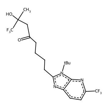 CC(C)(C)n1c(CCCCC(=O)CC(C)(O)C(F)(F)F)nc2ccc(C(F)(F)F)nc21